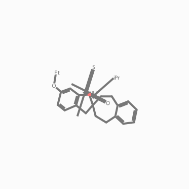 CCOc1ccc2c(c1)C1(NC(=S)N(C(C)C)C1=O)C1(CCc3ccccc3CC1)C2